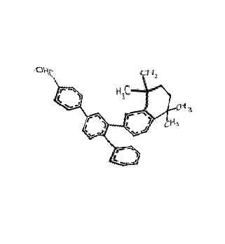 CC1(C)CCC(C)(C)c2cc(-c3cc(-c4ccc([C]=O)cc4)ccc3-c3ccccc3)ccc21